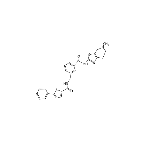 CN1CCc2nc(NC(=O)c3cccc(CNC(=O)c4ccc(-c5ccncc5)s4)c3)sc2C1